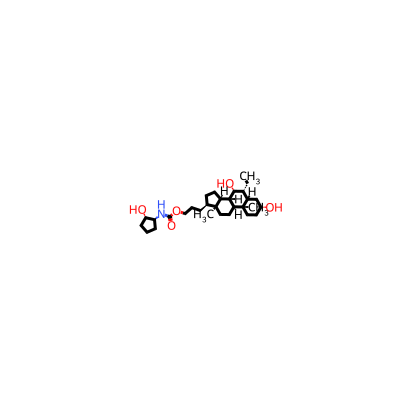 CC[C@H]1[C@@H](O)[C@@H]2[C@H](CC[C@]3(C)[C@@H](CCCOC(=O)N[C@H]4CCC[C@@H]4O)CC[C@@H]23)[C@@]2(C)CC[C@@H](O)C[C@@H]12